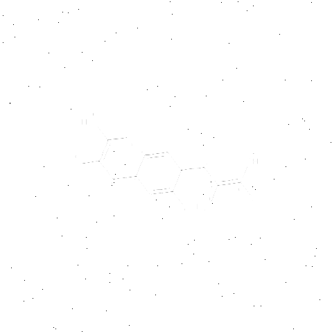 CC1=CC(CC(C)=C(C)C)C=CC1CC(C)=C(C)C